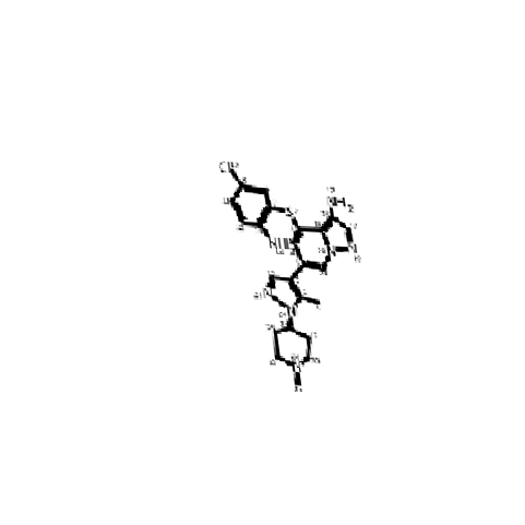 Cc1c(-c2cc(Sc3cc(Cl)ccc3N)c3c(N)cnn3c2)cnn1C1CCN(C)CC1